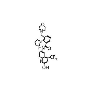 O=C(Nc1ccc2nc(O)cc(C(F)(F)F)c2c1)c1cccc(CN2CCOCC2)c1N1CCCC1